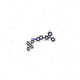 c1ccc(-c2c3ccccc3c(-c3ccc(Nc4ccc5cc(-c6ccc7c(c6)c6ccccc6n7-c6ccccc6)ccc5c4)cc3)c3ccccc23)cc1